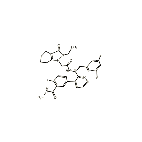 CCn1c(=O)c2c(n1CC(=O)N[C@@H](Cc1cc(F)cc(F)c1)c1ncccc1-c1ccc(F)c(C(=O)NC)c1)CCCC2